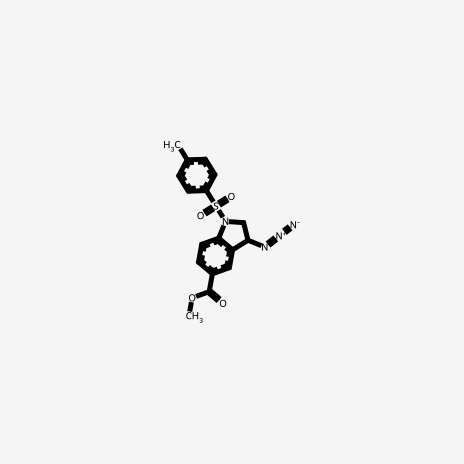 COC(=O)c1ccc2c(c1)C(N=[N+]=[N-])CN2S(=O)(=O)c1ccc(C)cc1